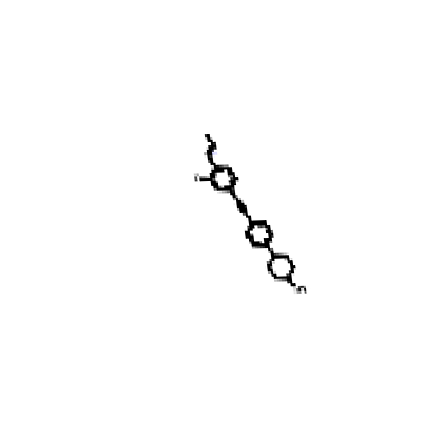 C/C=C/c1ccc(C#Cc2ccc(C3CCC(CCC)CC3)cc2)cc1F